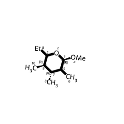 CCC1O[C@@H](OC)C(C)[C@H](C)[C@H]1C